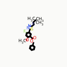 COc1cc(F)c(-c2nnc(/C=C/C(C)(C)C)s2)cc1C(=O)OCc1ccccc1